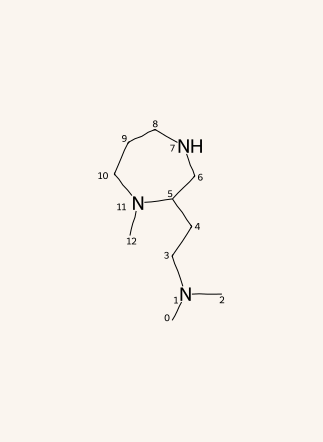 CN(C)CCC1CNCCCN1C